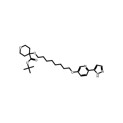 CC(C)(C)OC(=O)C1(OCCCCCCCCOc2ccc(-c3ccn[nH]3)nc2)CCOCC1